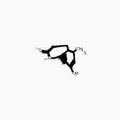 Cc1cc(O)cc2c1CCC(=O)O2